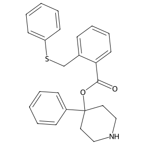 O=C(OC1(c2ccccc2)CCNCC1)c1ccccc1CSc1ccccc1